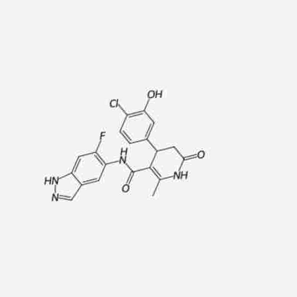 CC1=C(C(=O)Nc2cc3cn[nH]c3cc2F)C(c2ccc(Cl)c(O)c2)CC(=O)N1